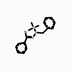 CC(=O)/C(=N\N(Cc1ccccc1)[Si](C)(C)C)c1ccccc1